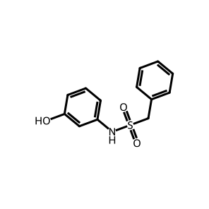 O=S(=O)(Cc1ccccc1)Nc1cccc(O)c1